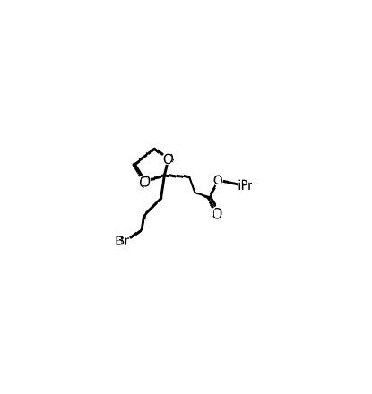 CC(C)OC(=O)CCC1(CCCBr)OCCO1